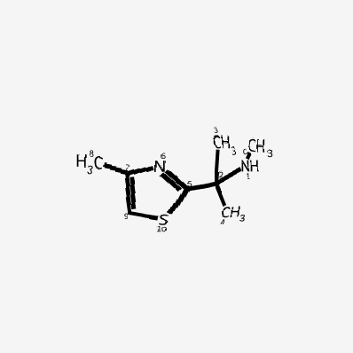 CNC(C)(C)c1nc(C)cs1